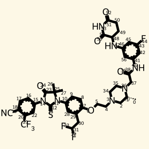 C[C@@H]1CN(CCOc2ccc(N3C(=S)N(c4ccc(C#N)c(C(F)(F)F)c4)C(=O)C3(C)C)cc2CC(F)F)CCN1CC(=O)Nc1cc(F)cc(NC2CCC(=O)NC2=O)c1